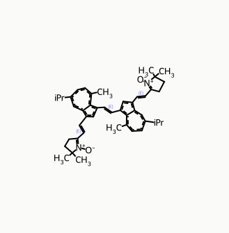 Cc1ccc(C(C)C)cc2c(/C=C/C3=[N+]([O-])C(C)(C)CC3)cc(/C=C/c3cc(/C=C/C4=[N+]([O-])C(C)(C)CC4)c4cc(C(C)C)ccc(C)c3-4)c1-2